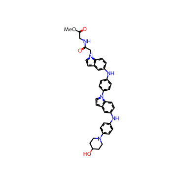 COC(=O)CNC(=O)Cn1ccc2cc(Nc3ccc(-n4ccc5cc(Nc6ccc(N7CCC(O)CC7)cc6)ccc54)cc3)ccc21